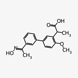 COc1ccc(-c2cccc(/C(C)=N/O)c2)cc1C(C)C(=O)O